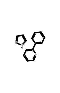 c1ccc(-c2ccccn2)cc1.c1cn[nH]c1